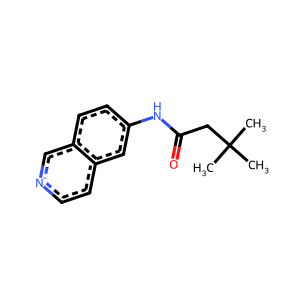 CC(C)(C)CC(=O)Nc1ccc2cnccc2c1